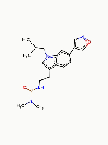 CC(C)Cn1cc(CCN[S+]([O-])N(C)C)c2ccc(-c3cnoc3)cc21